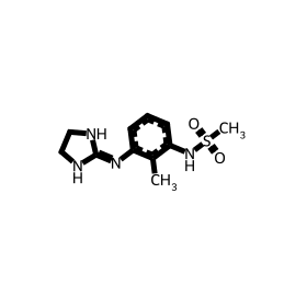 Cc1c(N=C2NCCN2)cccc1NS(C)(=O)=O